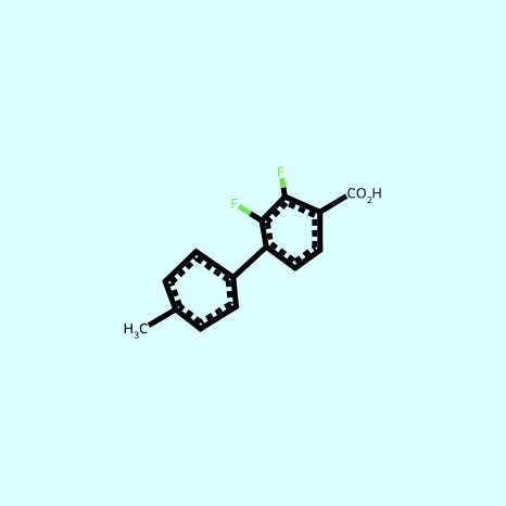 Cc1ccc(-c2ccc(C(=O)O)c(F)c2F)cc1